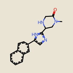 CN1CC(c2ncc(-c3ccc4ccccc4c3)[nH]2)NCC1=O